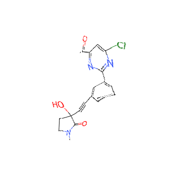 CN1CCC(O)(C#Cc2cccc(-c3nc(Cl)cc([C]=O)n3)c2)C1=O